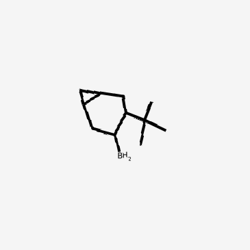 BC1CC2CC2CC1C(C)(C)C